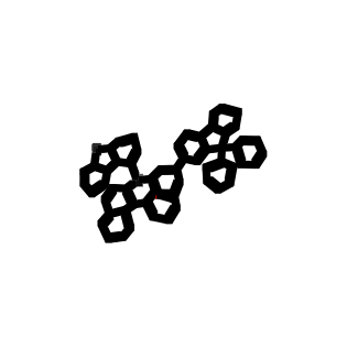 C1=CC2SC3C=CC=C(N(c4cccc(-c5ccc6c(c5)C(c5ccccc5)(c5ccccc5)c5ccccc5-6)c4)c4ccc5ccccc5c4-c4ccccc4)C3C2C=C1